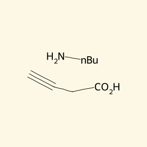 C#CCC(=O)O.CCCCN